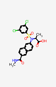 CNC(=O)c1ccc2cc(N(C(C)C(=O)O)S(=O)(=O)c3cc(Cl)cc(Cl)c3)ccc2c1